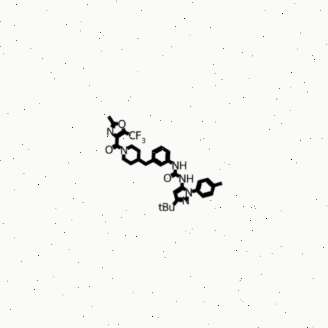 Cc1ccc(-n2nc(C(C)(C)C)cc2NC(=O)Nc2cccc(CC3CCN(C(=O)c4nc(C)oc4C(F)(F)F)CC3)c2)cc1